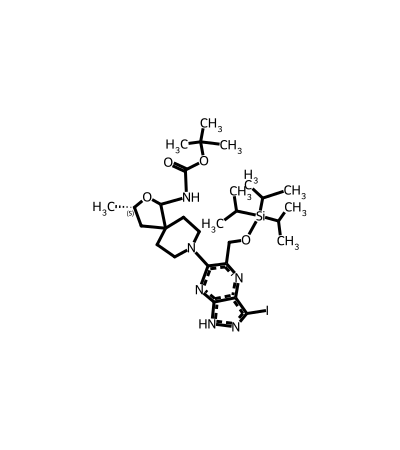 CC(C)[Si](OCc1nc2c(I)n[nH]c2nc1N1CCC2(CC1)C[C@H](C)OC2NC(=O)OC(C)(C)C)(C(C)C)C(C)C